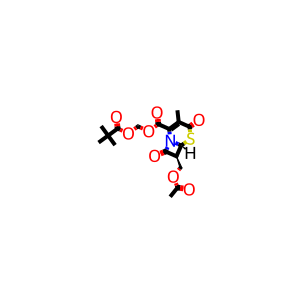 CC(=O)OC[C@H]1C(=O)N2C(C(=O)OCOC(=O)C(C)(C)C)=C(C)C(=O)S[C@@H]12